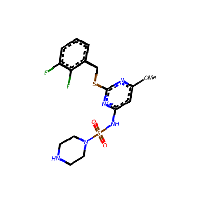 COc1cc(NS(=O)(=O)N2CCNCC2)nc(SCc2cccc(F)c2F)n1